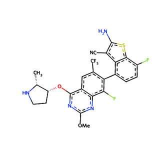 COc1nc(O[C@@H]2CCN[C@@H]2C)c2cc(C(F)(F)F)c(-c3ccc(F)c4sc(N)c(C#N)c34)c(F)c2n1